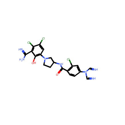 N=CN(C=N)c1ccc(C(=O)NC2CCN(c3cc(Cl)c(Cl)c(C(=N)N)c3O)C2)c(Cl)c1